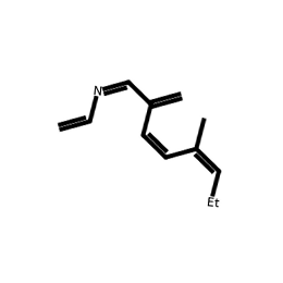 C=C/N=C\C(=C)/C=C\C(C)=C/CC